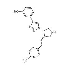 N#Cc1cccc(-c2cn([C@@H]3CNC[C@H]3OCc3ccc(C(F)(F)F)cc3)nn2)c1